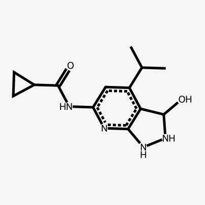 CC(C)c1cc(NC(=O)C2CC2)nc2c1C(O)NN2